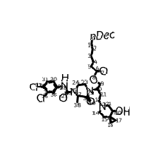 CCCCCCCCCCCCCCCC(=O)OCC(CCN1CCC2(CC2)C(O)C1)N1CCN(C(=O)Nc2ccc(Cl)c(Cl)c2)C(C)C1=O